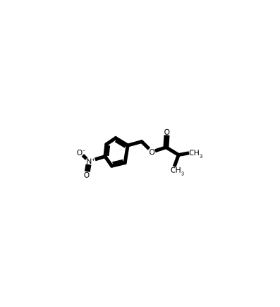 C[C](C)C(=O)OCc1ccc([N+](=O)[O-])cc1